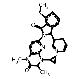 CSc1cccc2c1C(=O)N(c1ccc3c(n1)N(C1CC1)C(C)C(=O)N3C)C2C1C=NC=CC1